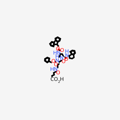 O=C(O)CCCC(=O)NCCC[C@H](NC(=O)OCc1ccccc1)C(=O)N1C[C@@H](NC(=O)OCC2c3ccccc3-c3ccccc32)C[C@H]1C(=O)N[C@@H]1CCCc2ccccc21